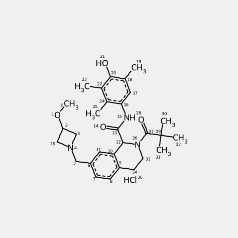 COC1CN(Cc2ccc3c(c2)C(C(=O)Nc2cc(C)c(O)c(C)c2C)N(C(=O)C(C)(C)C)CC3)C1.Cl